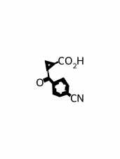 N#Cc1ccc(C(=O)[C@H]2C[C@H]2C(=O)O)cc1